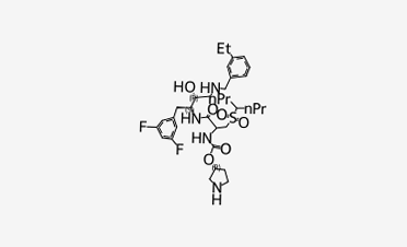 CCCC(CCC)S(=O)(=O)CC(NC(=O)O[C@@H]1CCNC1)C(=O)N[C@@H](Cc1cc(F)cc(F)c1)[C@H](O)CNCc1cccc(CC)c1